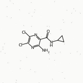 Nc1nc(Cl)c(Cl)nc1C(=O)NC1CC1